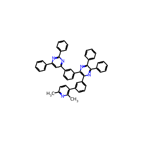 Cc1ccc(-c2cccc(-c3nc(-c4ccccc4)c(-c4ccccc4)nc3-c3cccc(-c4cc(-c5ccccc5)nc(-c5ccccc5)n4)c3)c2)c(C)n1